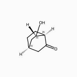 O=C1C[C@H]2CC[C@@H]1[C@@H](O)C2